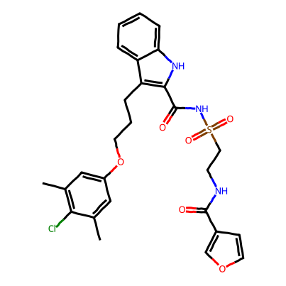 Cc1cc(OCCCc2c(C(=O)NS(=O)(=O)CCNC(=O)c3ccoc3)[nH]c3ccccc23)cc(C)c1Cl